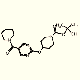 CC(C)(C)OC(=O)N1CCC(Oc2ncc(C(=O)N3CCCCC3)cn2)CC1